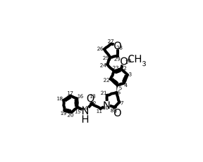 COc1ccc([C@@H]2CC(=O)N(CC(=O)Nc3ccccc3)C2)cc1CC1CCOC1